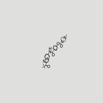 CN1CCN(C(=O)Oc2ccc(C(=O)Nc3ccc4nc(C(=O)C(C)(C)C)cn4c3)cc2)CC1